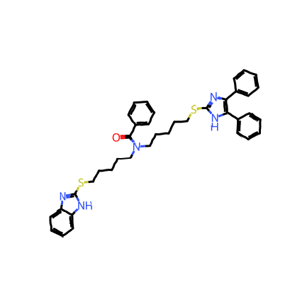 O=C(c1ccccc1)N(CCCCCSc1nc(-c2ccccc2)c(-c2ccccc2)[nH]1)CCCCCSc1nc2ccccc2[nH]1